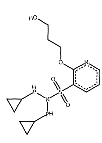 O=S(=O)(c1cccnc1OCCCO)N(PC1CC1)PC1CC1